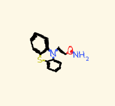 NOCCN1c2ccccc2Sc2ccccc21